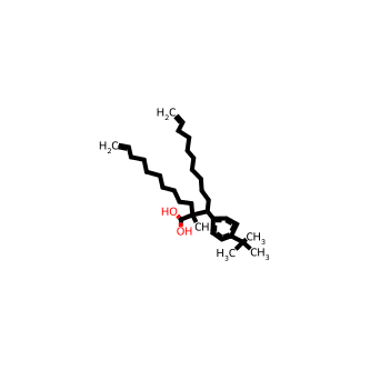 C=CCCCCCCCCC(c1ccc(C(C)(C)C)cc1)C(C)(CCCCCCCCC=C)C(O)O